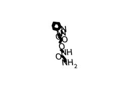 NCC(=O)NCOCC(=O)On1nnc2ccccc21